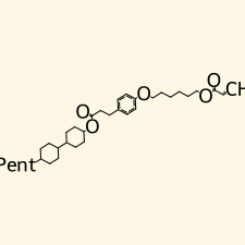 C=CC(=O)OCCCCCCOc1ccc(CCC(=O)OC2CCC(C3CCC(CCCCC)CC3)CC2)cc1